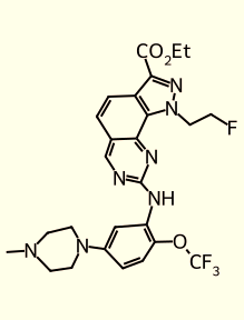 CCOC(=O)c1nn(CCF)c2c1ccc1cnc(Nc3cc(N4CCN(C)CC4)ccc3OC(F)(F)F)nc12